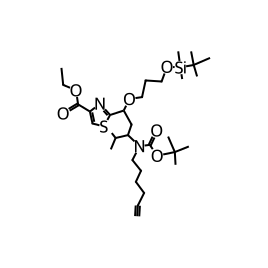 C#CCCCCN(C(=O)OC(C)(C)C)C(CC(OCCCO[Si](C)(C)C(C)(C)C)c1nc(C(=O)OCC)cs1)C(C)C